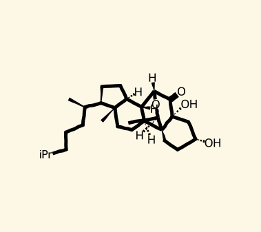 CC(C)CCC[C@@H](C)[C@H]1CC[C@H]2[C@@H]3[C@H]4O[C@H](C)[C@@]5(CC[C@@H](O)C[C@]5(O)C4=O)[C@H]3CC[C@]12C